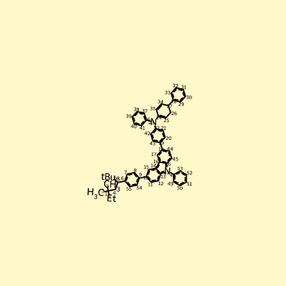 CCC(C)(C)CC(c1ccc(-c2ccc3c(c2)c2cc(-c4ccc(N(C5=CCC(c6ccccc6)C=C5)c5ccccc5)cc4)ccc2n3-c2ccccc2)cc1)C(C)(C)C